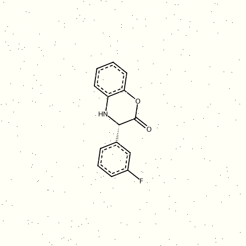 O=C1Oc2ccccc2N[C@H]1c1cccc(F)c1